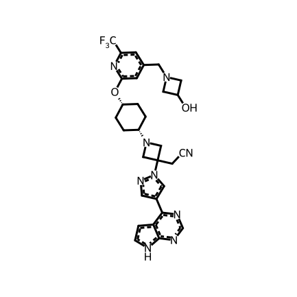 N#CCC1(n2cc(-c3ncnc4[nH]ccc34)cn2)CN([C@H]2CC[C@@H](Oc3cc(CN4CC(O)C4)cc(C(F)(F)F)n3)CC2)C1